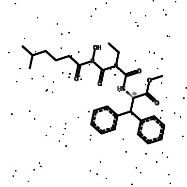 CCN(C(=O)N[C@H](C(=O)OC)C(c1ccccc1)c1ccccc1)C(=O)N(O)C(=O)CCCC(C)C